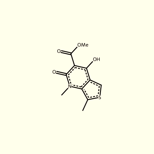 COC(=O)c1c(O)c2csc(C)c2n(C)c1=O